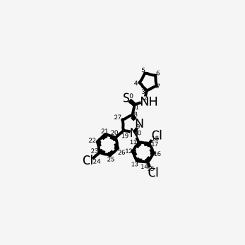 S=C(NC1CCCC1)C1=NN(c2ccc(Cl)cc2Cl)C(c2ccc(Cl)cc2)C1